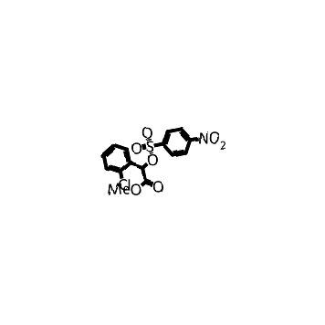 COC(=O)C(OS(=O)(=O)c1ccc([N+](=O)[O-])cc1)c1ccccc1Cl